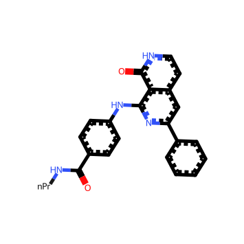 CCCNC(=O)c1ccc(Nc2nc(-c3ccccc3)cc3cc[nH]c(=O)c23)cc1